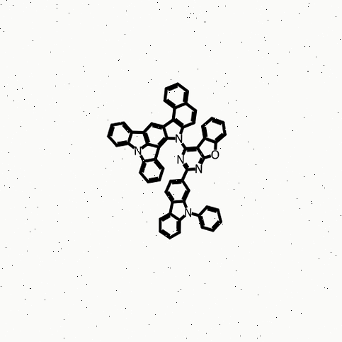 c1ccc(-n2c3ccccc3c3ccc(-c4nc(-n5c6ccc7ccccc7c6c6cc7c8ccccc8n8c9ccccc9c(c65)c78)c5c(n4)oc4ccccc45)cc32)cc1